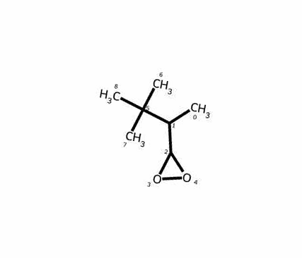 CC(C1OO1)C(C)(C)C